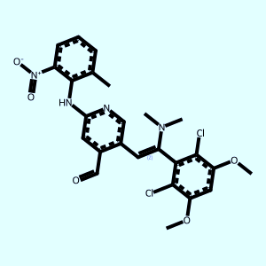 COc1cc(OC)c(Cl)c(/C(=C/c2cnc(Nc3c(C)cccc3[N+](=O)[O-])cc2C=O)N(C)C)c1Cl